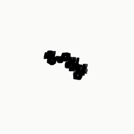 Cc1cc(C(=O)Nc2cccc(OCc3cccc4nsnc34)c2)c(C)n1-c1ccccc1C(F)(F)F